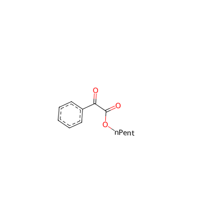 CCCCCOC(=O)C(=O)c1ccccc1